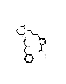 CC(C)OC(=O)c1ccc(CCCN2C(=O)OCC[C@@H]2C=C[C@@H](O)Cc2ccccc2)s1